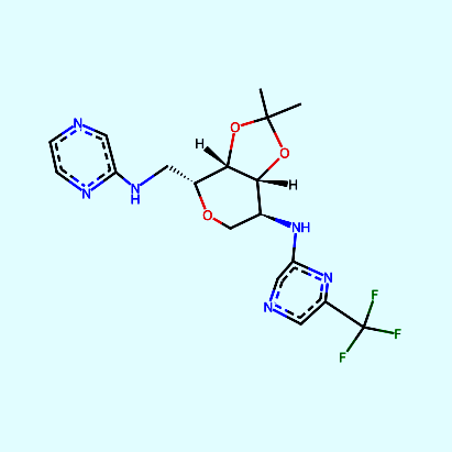 CC1(C)O[C@@H]2[C@H](O1)[C@@H](Nc1cncc(C(F)(F)F)n1)CO[C@@H]2CNc1cnccn1